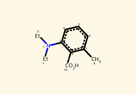 CCN(CC)c1cccc(C)c1C(=O)O